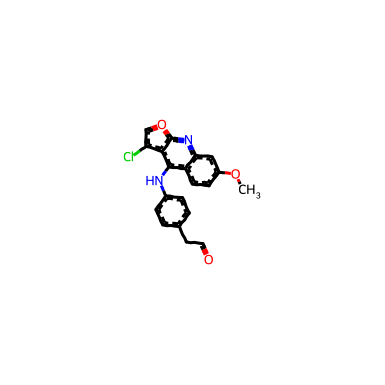 COc1ccc2c(Nc3ccc(CC=O)cc3)c3c(Cl)coc3nc2c1